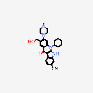 CN1CCN(c2cc3c(cc2CO)c(=O)c2c4ccc(C#N)cc4[nH]c2n3C2CCCCC2)CC1